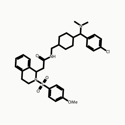 COc1ccc(S(=O)(=O)N2CCc3ccccc3C2CC(=O)NCC2CCC(C(c3ccc(Cl)cc3)N(C)C)CC2)cc1